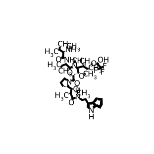 CC[C@H](C)[C@@H]([C@@H](CC(=O)N1CCC[C@H]1[C@H](OC)[C@@H](C)C(=O)NCCc1c[nH]c2ccccc12)OC)N(C)C(=O)[C@@H](NC(=O)[C@@H](NC)C(C)C)C(C)C.O=C(O)C(F)(F)F